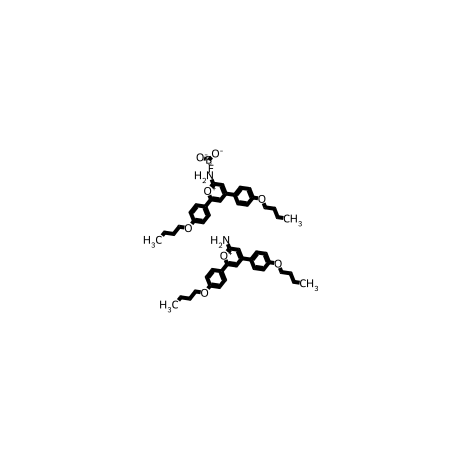 CCCCOc1ccc(-c2cc(N)[o+]c(-c3ccc(OCCCC)cc3)c2)cc1.CCCCOc1ccc(-c2cc(N)[o+]c(-c3ccc(OCCCC)cc3)c2)cc1.[O-]B([O-])F